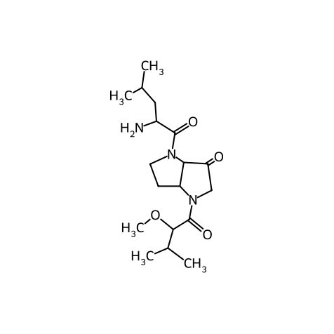 COC(C(=O)N1CC(=O)C2C1CCN2C(=O)C(N)CC(C)C)C(C)C